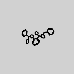 O=C(Oc1ccccc1C(=O)OCc1ccccc1)c1ccccc1